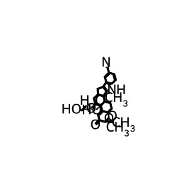 CC1(C)OC23CCC4(C)[C@@]5(C)c6[nH]c7ccc(C#N)cc7c6CC5C[C@H](OCCO)[C@@]4(O)C2=CC(=O)C1O3